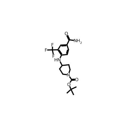 CC(C)(C)OC(=O)N1CCC(Nc2ccc(C(N)=O)cc2C(F)(F)F)CC1